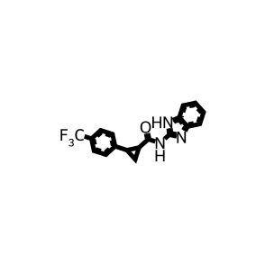 O=C(Nc1nc2ccccc2[nH]1)C1CC1c1ccc(C(F)(F)F)cc1